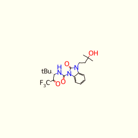 CC(C)(O)CCn1c(=O)n(C(=O)N[C@H](C(=O)C(F)(F)F)C(C)(C)C)c2ccccc21